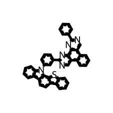 c1ccc(-c2ncc3c4ccccc4c4cnc(-c5cccc(-n6c7ccccc7c7ccc8c9ccccc9sc8c76)c5)nc4c3n2)cc1